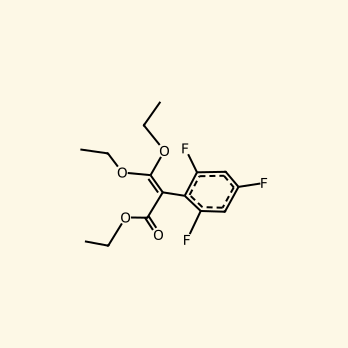 CCOC(=O)C(=C(OCC)OCC)c1c(F)cc(F)cc1F